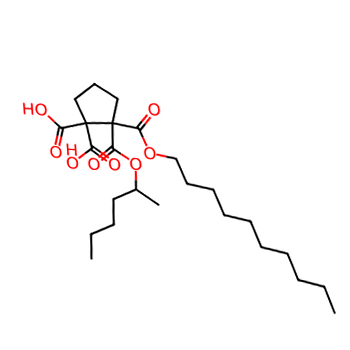 CCCCCCCCCCOC(=O)C1(C(=O)OC(C)CCCC)CCCC1(C(=O)O)C(=O)O